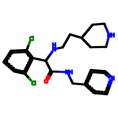 O=C(NCc1ccncc1)C(NCCC1CCNCC1)c1c(Cl)cccc1Cl